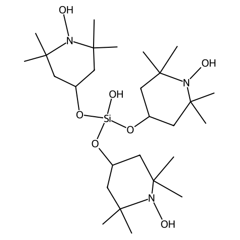 CC1(C)CC(O[Si](O)(OC2CC(C)(C)N(O)C(C)(C)C2)OC2CC(C)(C)N(O)C(C)(C)C2)CC(C)(C)N1O